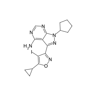 Nc1ncnc2c1c(-c1noc(C3CC3)c1I)nn2C1CCCC1